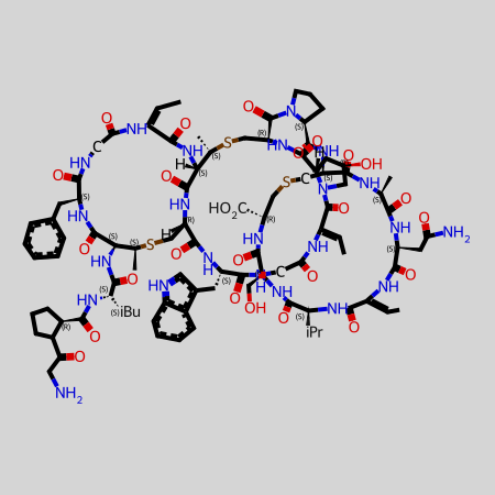 CC=C1NC(=O)CNC(=O)[C@H](Cc2ccccc2)NC(=O)[C@H](NC(=O)[C@@H](NC(=O)[C@@H]2CCCC2C(=O)CN)[C@@H](C)CC)[C@H](C)SC[C@@H]2NC(=O)[C@H](NC1=O)[C@H](C)SC[C@@H](C(=O)N1CCC[C@H]1C(=O)N[C@@H]1CSC[C@@H](C(=O)O)NC(=O)[C@H](CO)NC(=O)[C@H](C(C)C)NC(=O)C(=CC)NC(=O)[C@H](CC(N)=O)NC(=O)[C@H](C)NC1=O)NC(=O)[C@@H]1C[C@@H](O)CN1C(=O)C(=CC)NC(=O)CNC(=O)[C@H](Cc1c[nH]c3ccccc13)NC2=O